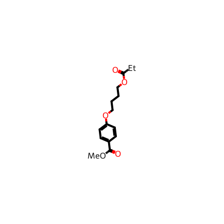 CCC(=O)OCCCCOc1ccc(C(=O)OC)cc1